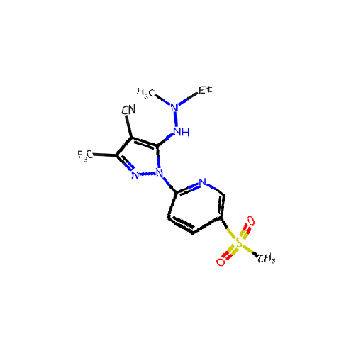 CCN(C)Nc1c(C#N)c(C(F)(F)F)nn1-c1ccc(S(C)(=O)=O)cn1